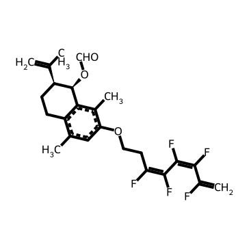 C=C(F)/C(F)=C(F)\C(F)=C(\F)CCOc1cc(C)c2c(c1C)[C@H](OC=O)[C@H](C(=C)C)CC2